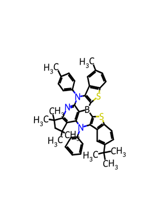 Cc1ccc(N2c3nc4c(c5c3B(c3sc6ccc(C)cc6c32)c2sc3ccc(C(C)(C)C)cc3c2N5c2ccccc2)C(C)(C)CC4(C)C)cc1